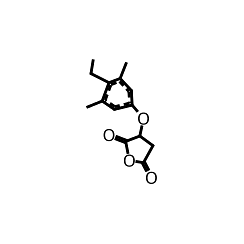 CCc1c(C)cc(OC2CC(=O)OC2=O)cc1C